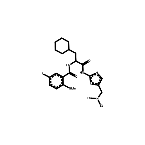 CCN(CC)Cc1cnc(NC(=O)C(CC2CCCCC2)NC(=O)c2cc(F)ccc2NC)s1